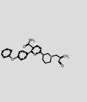 C=C(C=O)CN1CCCC(c2ccc(C(N)=O)c(-c3ccc(Oc4ccccc4)cc3)n2)C1